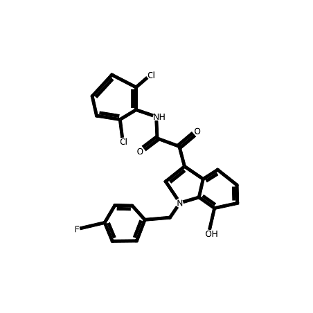 O=C(Nc1c(Cl)cccc1Cl)C(=O)c1cn(Cc2ccc(F)cc2)c2c(O)cccc12